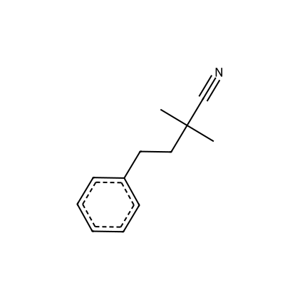 CC(C)(C#N)CCc1ccccc1